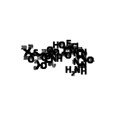 CC(C)OC(=O)[C@@H](C)N[P@@](=O)(OCCSC(=O)C(C)(C)C)OC[C@H]1O[C@@H](n2cnc3c(=O)[nH]c(N)nc32)[C@@](F)(Cl)[C@@H]1O